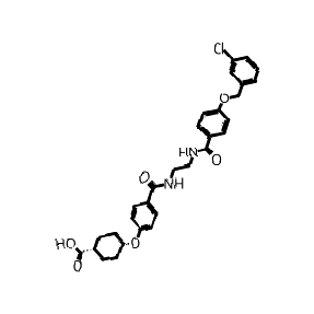 O=C(NCCNC(=O)c1ccc(O[C@H]2CC[C@@H](C(=O)O)CC2)cc1)c1ccc(OCc2cccc(Cl)c2)cc1